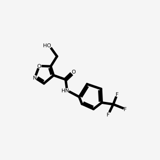 O=C(Nc1ccc(C(F)(F)F)cc1)c1cnoc1CO